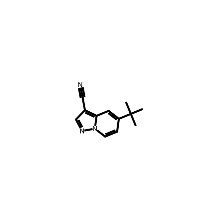 CC(C)(C)c1ccn2ncc(C#N)c2c1